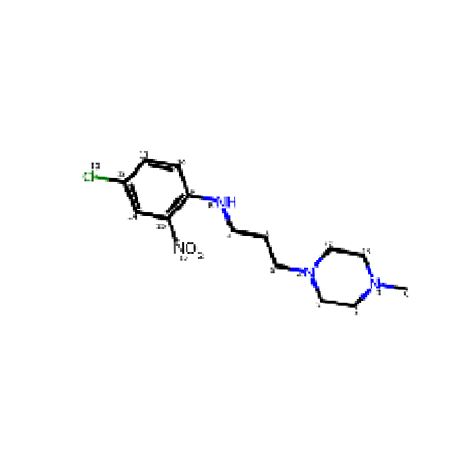 CN1CCN(CCCNc2ccc(Cl)cc2[N+](=O)[O-])CC1